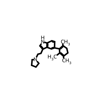 CC1=C(C)C(c2ccc3[nH]cc(CCN4CCCC4)c3c2)=C(C)CC1